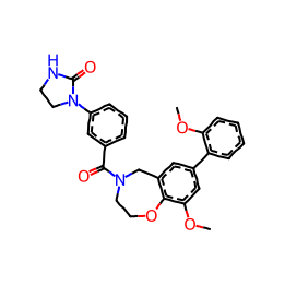 COc1ccccc1-c1cc2c(c(OC)c1)OCCN(C(=O)c1cccc(N3CCNC3=O)c1)C2